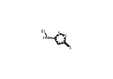 CCNc1cc(=S)ss1